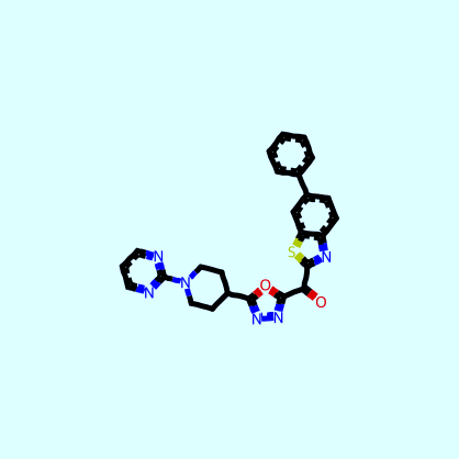 O=C(c1nnc(C2CCN(c3ncccn3)CC2)o1)c1nc2ccc(-c3ccccc3)cc2s1